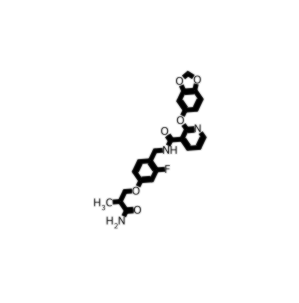 CC(COc1ccc(CNC(=O)c2cccnc2Oc2ccc3c(c2)OCO3)c(F)c1)C(N)=O